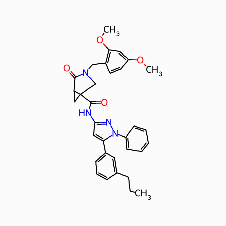 CCCc1cccc(-c2cc(NC(=O)C34CC3C(=O)N(Cc3ccc(OC)cc3OC)C4)nn2-c2ccccc2)c1